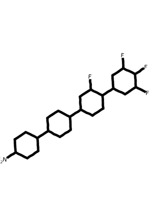 NC1CCC(C2CCC(C3CCC(C4CC(F)C(F)C(F)C4)C(F)C3)CC2)CC1